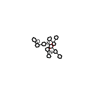 c1ccc(-c2ccc(-c3ccc(N(c4ccc(-c5cccc6c5oc5ccccc56)cc4)c4ccccc4-c4ccccc4-c4ccccc4)cc3)c(-n3c4ccccc4c4ccccc43)c2)cc1